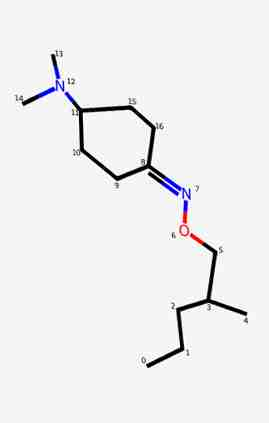 CCCC(C)CON=C1CCC(N(C)C)CC1